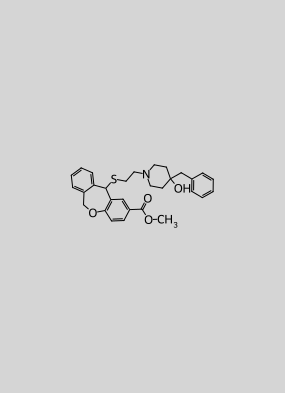 COC(=O)c1ccc2c(c1)C(SCCN1CCC(O)(Cc3ccccc3)CC1)c1ccccc1CO2